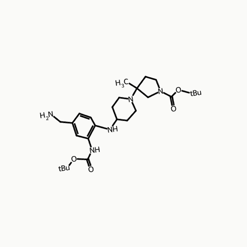 CC(C)(C)OC(=O)Nc1cc(CN)ccc1NC1CCN(C2(C)CCN(C(=O)OC(C)(C)C)C2)CC1